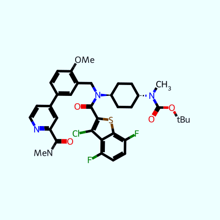 CNC(=O)c1cc(-c2ccc(OC)c(CN(C(=O)c3sc4c(F)ccc(F)c4c3Cl)[C@H]3CC[C@H](N(C)C(=O)OC(C)(C)C)CC3)c2)ccn1